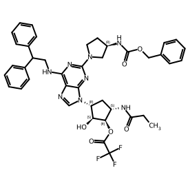 CCC(=O)N[C@H]1C[C@@H](n2cnc3c(NCC(c4ccccc4)c4ccccc4)nc(N4CC[C@@H](NC(=O)OCc5ccccc5)C4)nc32)[C@H](O)[C@@H]1OC(=O)C(F)(F)F